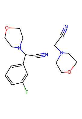 N#CC(c1cccc(F)c1)N1CCOCC1.N#CCN1CCOCC1